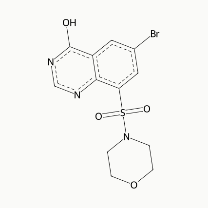 O=S(=O)(c1cc(Br)cc2c(O)ncnc12)N1CCOCC1